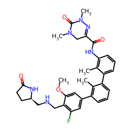 COc1cc(-c2cccc(-c3cccc(NC(=O)C4=NN(C)C(=O)N(C)C4)c3C)c2C)cc(F)c1CNC[C@H]1CCC(=O)N1